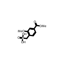 COC(=O)c1ccc(CP(=O)(O)O)c(OC)c1